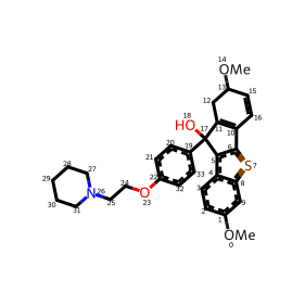 COc1ccc2c3c(sc2c1)C1=C(CC(OC)C=C1)C3(O)c1ccc(OCCN2CCCCC2)cc1